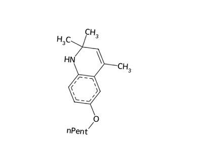 CCCCCOc1ccc2c(c1)C(C)=CC(C)(C)N2